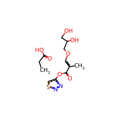 CC(=COCC(O)CO)C(=O)Oc1csnn1.CCC(=O)O